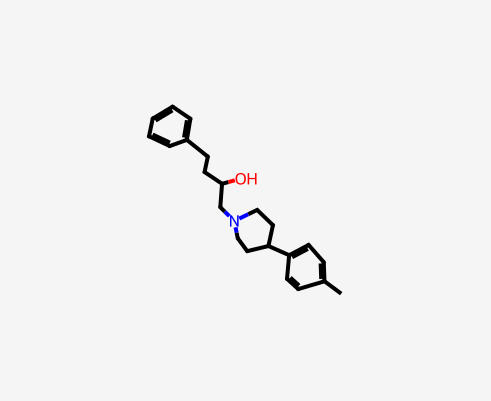 Cc1ccc(C2CCN(CC(O)CCc3ccccc3)CC2)cc1